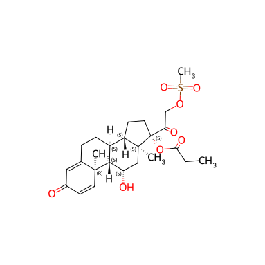 CCC(=O)O[C@@]1(C(=O)COS(C)(=O)=O)CC[C@H]2[C@@H]3CCC4=CC(=O)C=C[C@]4(C)[C@H]3[C@@H](O)C[C@@]21C